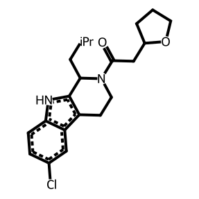 CC(C)CC1c2[nH]c3ccc(Cl)cc3c2CCN1C(=O)CC1CCCO1